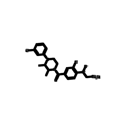 CCOC(=O)C[S+]([O-])c1ccc(C(=O)N2CCN(c3cccc(Cl)c3)C(C)C2C)cc1Cl